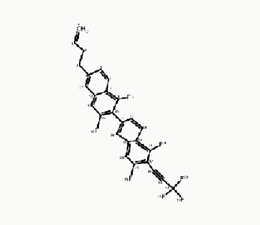 C=CCCc1ccc2c(F)c(-c3ccc4c(F)c(C#CC(F)(F)F)c(F)cc4c3)c(F)cc2c1